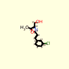 Cc1oc(/C=C/c2cccc(Cl)c2)nc1CO